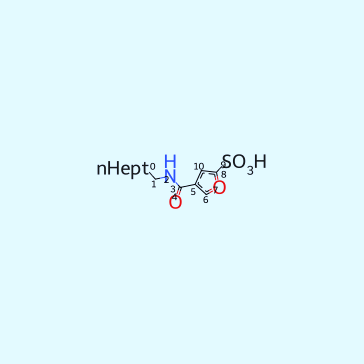 CCCCCCCCNC(=O)c1coc(S(=O)(=O)O)c1